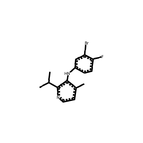 Cc1ccnc(C(C)C)c1Nc1ccc(F)c(Br)c1